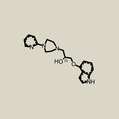 O[C@H](COc1cccc2[nH]ccc12)CN1CCN(c2ccccn2)CC1